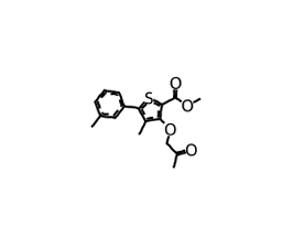 COC(=O)c1sc(-c2cccc(C)c2)c(C)c1OCC(C)=O